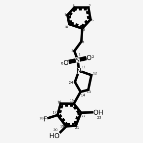 O=S(=O)(CCc1ccccc1)N1CCC(c2cc(F)c(O)cc2O)C1